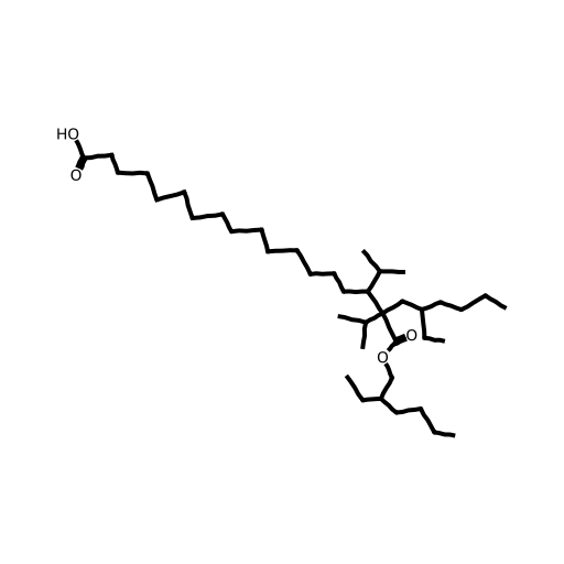 CCCCC(CC)COC(=O)C(CC(CC)CCCC)(C(C)C)C(CCCCCCCCCCCCCCC(=O)O)C(C)C